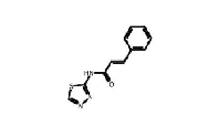 O=C(C=Cc1ccccc1)Nc1nncs1